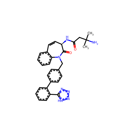 CC(C)(N)CC(=O)N[C@@H]1C=Cc2ccccc2N(Cc2ccc(-c3ccccc3-c3nnn[nH]3)cc2)C1=O